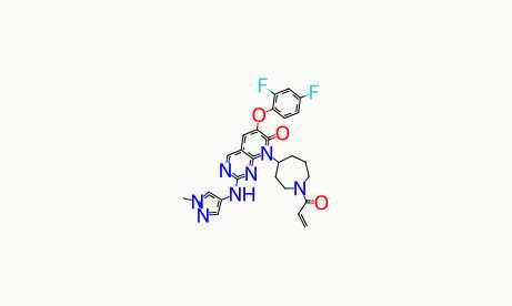 C=CC(=O)N1CCCC(n2c(=O)c(Oc3ccc(F)cc3F)cc3cnc(Nc4cnn(C)c4)nc32)CC1